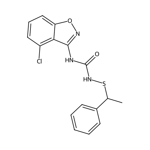 CC(SNC(=O)Nc1noc2cccc(Cl)c12)c1ccccc1